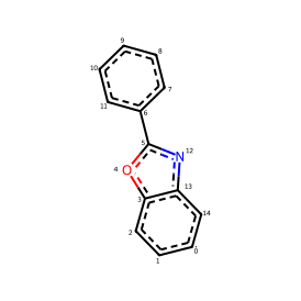 [c]1ccc2oc(-c3ccccc3)nc2c1